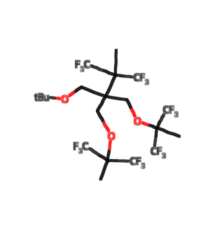 CC(C)(C)OCC(COC(C)(C(F)(F)F)C(F)(F)F)(COC(C)(C(F)(F)F)C(F)(F)F)C(C)(C(F)(F)F)C(F)(F)F